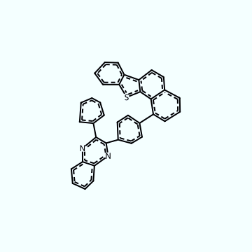 c1ccc(-c2nc3ccccc3nc2-c2ccc(-c3cccc4ccc5c6ccccc6sc5c34)cc2)cc1